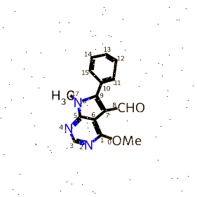 COc1ncnc2c1c(C=O)c(-c1ccccc1)n2C